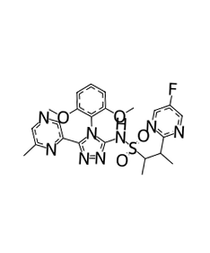 COc1cccc(OC)c1-n1c(NS(=O)(=O)C(C)C(C)c2ncc(F)cn2)nnc1-c1cncc(C)n1